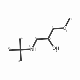 COCC(O)CNC(C)(C)C